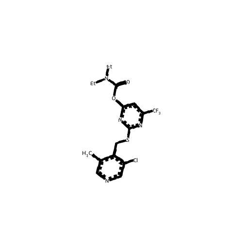 CCN(CC)C(=O)Oc1cc(C(F)(F)F)nc(SCc2c(C)cncc2Cl)n1